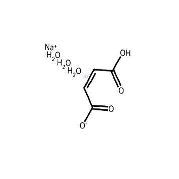 O.O.O.O=C([O-])/C=C\C(=O)O.[Na+]